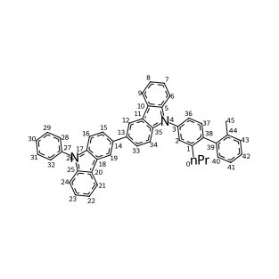 CCCc1cc(-n2c3ccccc3c3cc(-c4ccc5c(c4)c4ccccc4n5-c4ccccc4)ccc32)ccc1-c1ccccc1C